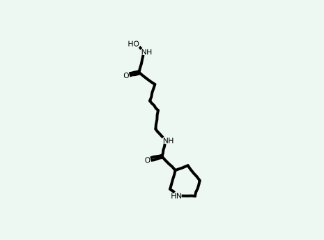 O=C(CCCCNC(=O)C1CCCNC1)NO